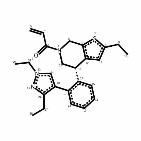 C=CC(=O)N1Cc2sc(CC)cc2[C@H](c2ccccc2-c2cn(CC)nc2CC)C1